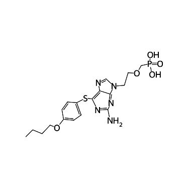 CCCCOc1ccc(Sc2nc(N)nc3c2ncn3CCOCP(=O)(O)O)cc1